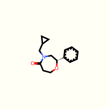 O=C1CCO[C@@H](c2ccccc2)CN1CC1CC1